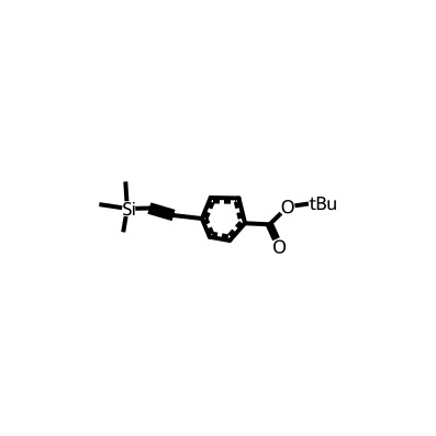 CC(C)(C)OC(=O)c1ccc(C#C[Si](C)(C)C)cc1